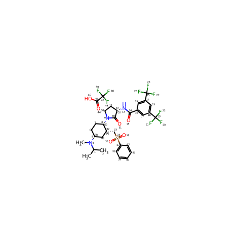 CC(C)N(C)[C@@H]1CC[C@H](N2CC[C@H](NC(=O)c3cc(C(F)(F)F)cc(C(F)(F)F)c3)C2=O)[C@H](CS(=O)(=O)c2ccccc2)C1.O=C(O)C(F)(F)F